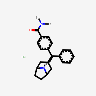 CCCN1C2CCC1CC(=C(c1ccccc1)c1ccc(C(=O)N(CC)CC)cc1)C2.Cl